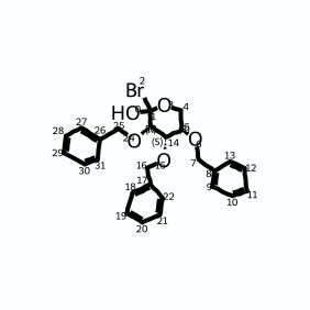 OC1(Br)OC[C@@H](OCc2ccccc2)[C@H](OCc2ccccc2)[C@H]1OCc1ccccc1